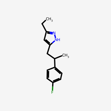 CCc1cc(CC(C)c2ccc(F)cc2)[nH]n1